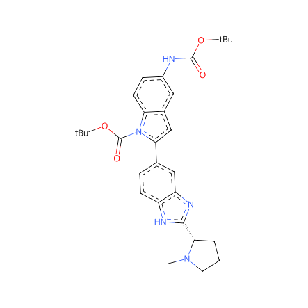 CN1CCC[C@H]1c1nc2cc(-c3cc4cc(NC(=O)OC(C)(C)C)ccc4n3C(=O)OC(C)(C)C)ccc2[nH]1